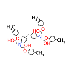 Cc1ccc(OC(O)CN(CC(O)Oc2ccc(C)cc2)c2ccc(Cc3ccc(N(CC(O)Oc4ccc(C)cc4)CC(O)Oc4ccc(C)cc4)cc3)cc2)cc1